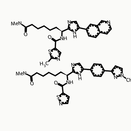 CNC(=O)CCCCC[C@H](NC(=O)c1ccns1)c1ncc(-c2ccc(-c3ccn(C)n3)cc2)[nH]1.CNC(=O)CCCCC[C@H](NC(=O)c1cnc(C)s1)c1ncc(-c2ccc3ccncc3c2)[nH]1